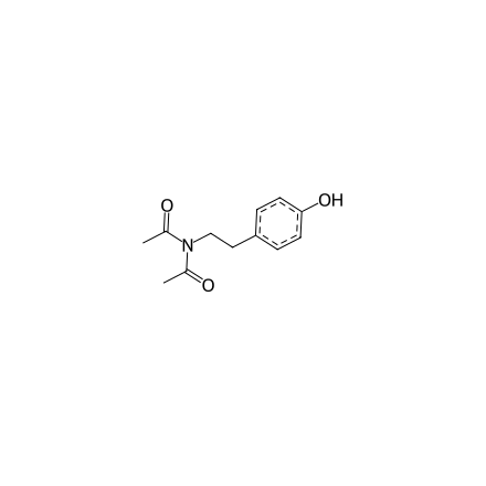 CC(=O)N(CCc1ccc(O)cc1)C(C)=O